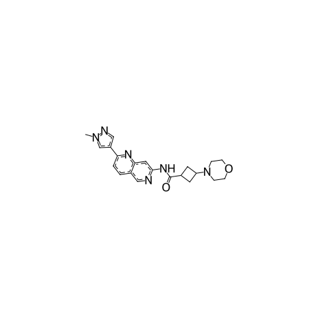 Cn1cc(-c2ccc3cnc(NC(=O)C4CC(N5CCOCC5)C4)cc3n2)cn1